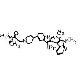 Cc1c(-c2[nH]c3ccc(C4CCN(CC(=O)N(C)C)CC4)cc3c2C(C)C)c2cccnc2n1C